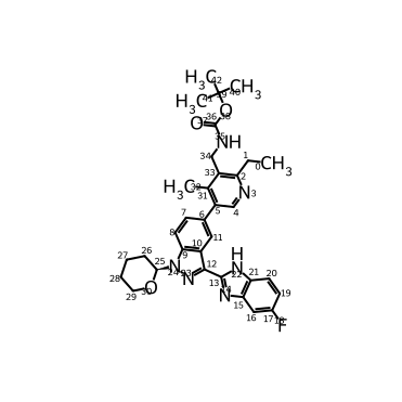 CCc1ncc(-c2ccc3c(c2)c(-c2nc4cc(F)ccc4[nH]2)nn3[C@@H]2CCCCO2)c(C)c1CNC(=O)OC(C)(C)C